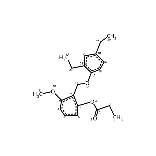 CCC(=O)Oc1cccc(OC)c1COc1ccc(CC)cc1CC